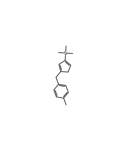 Cc1ccc(CC2=CC([Si](C)(C)C)=CC2)cc1